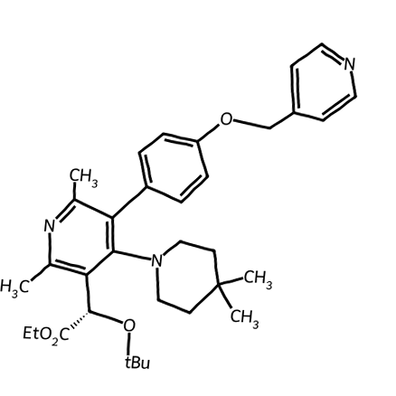 CCOC(=O)[C@@H](OC(C)(C)C)c1c(C)nc(C)c(-c2ccc(OCc3ccncc3)cc2)c1N1CCC(C)(C)CC1